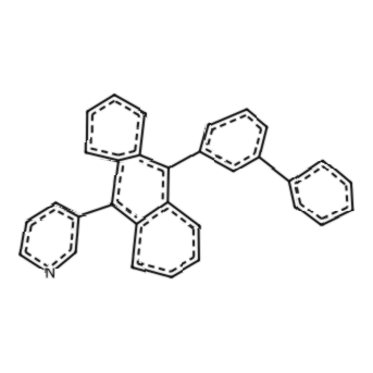 c1ccc(-c2cccc(-c3c4ccccc4c(-c4cccnc4)c4ccccc34)c2)cc1